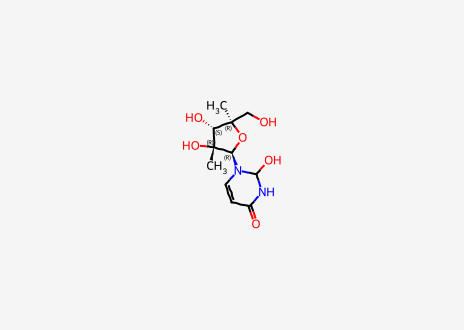 C[C@]1(O)[C@H](N2C=CC(=O)NC2O)O[C@](C)(CO)[C@H]1O